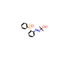 CC(C)(O)N=Nc1ccccc1[PH](=O)c1ccccc1